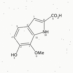 COc1c(O)ccc2cc(C(=O)O)[nH]c12